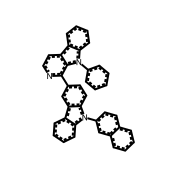 c1ccc(-n2c3ccccc3c3ccnc(-c4ccc5c(c4)c4ccccc4n5-c4ccc5ccccc5c4)c32)cc1